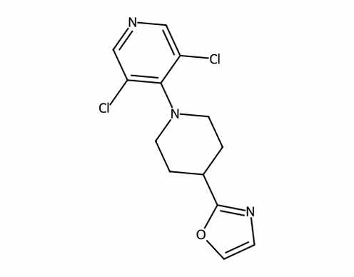 Clc1cncc(Cl)c1N1CCC(c2ncco2)CC1